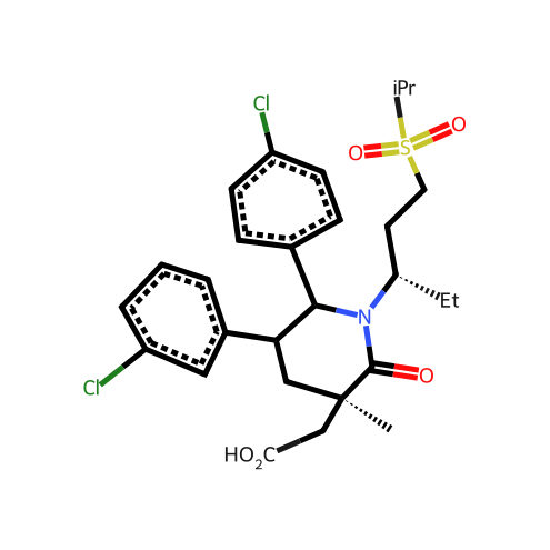 CC[C@@H](CCS(=O)(=O)C(C)C)N1C(=O)[C@@](C)(CC(=O)O)CC(c2cccc(Cl)c2)C1c1ccc(Cl)cc1